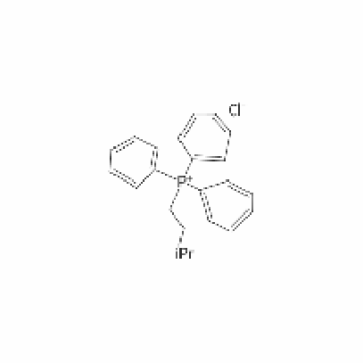 CC(C)CC[P+](c1ccccc1)(c1ccccc1)c1ccccc1.[Cl-]